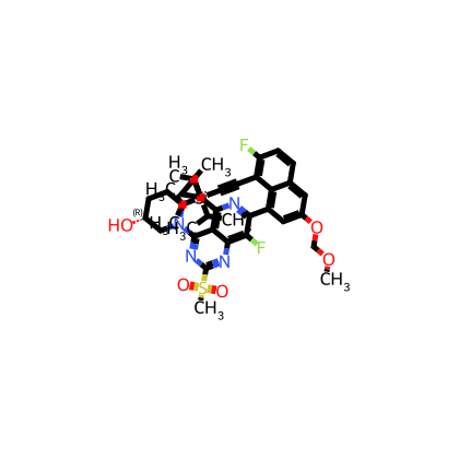 COCOc1cc(-c2nc(C3CC3)c3c(N4CCC[C@@H](O)C4)nc(S(C)(=O)=O)nc3c2F)c2c(C#C[Si](C(C)C)(C(C)C)C(C)C)c(F)ccc2c1